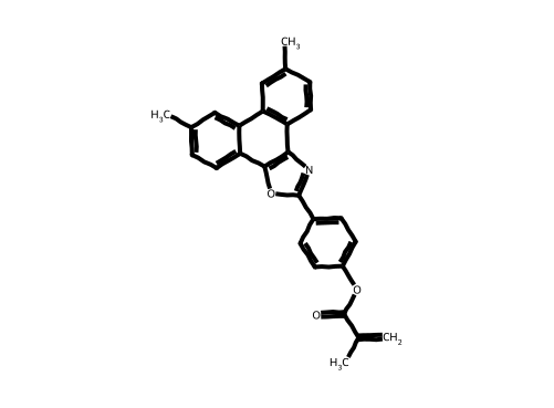 C=C(C)C(=O)Oc1ccc(-c2nc3c4ccc(C)cc4c4cc(C)ccc4c3o2)cc1